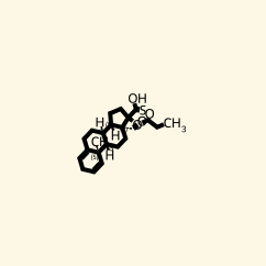 CCC(=O)OC1(C(O)=S)CC[C@H]2[C@@H]3CCC4=CCC=C[C@]4(C)[C@H]3CC[C@@]21C=O